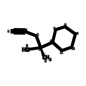 C[C@](O)(CC#N)C1CCCCC1